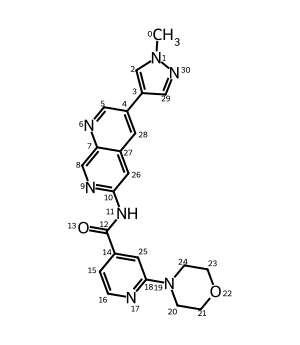 Cn1cc(-c2cnc3cnc(NC(=O)c4ccnc(N5CCOCC5)c4)cc3c2)cn1